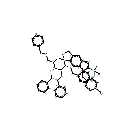 CCc1ccc(Cc2c([Si](C)(C)C)sc3cc4c(cc23)[C@]2(OC4)O[C@H](COCc3ccccc3)[C@@H](OCc3ccccc3)[C@H](OCc3ccccc3)[C@H]2OCc2ccccc2)cc1